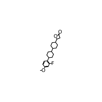 COc1ccc(C2CCC(C3CCC(C4CC(=O)O4)CC3)CC2)c(F)c1